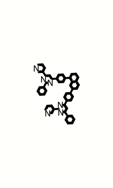 c1ccc(-c2cc(-c3ccc(-c4ccc5cccc(-c6ccc(-c7cc(-c8cccnc8)nc(-c8ccccc8)n7)cc6)c5c4)cc3)nc(-c3cccnc3)n2)cc1